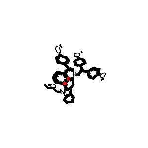 CCCCn1c2ccccc2c2cc(N(C=C(c3ccc(OC)cc3)c3ccc(OC)cc3)C=C(c3ccc(OC)cc3)c3ccc(OC)cc3)ccc21